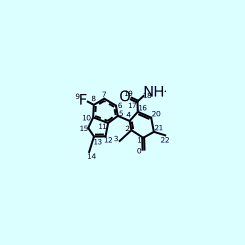 C=C1C(C)=C(c2ccc(F)c3c2C=C(C)C3)C(C([NH])=O)=CC1C